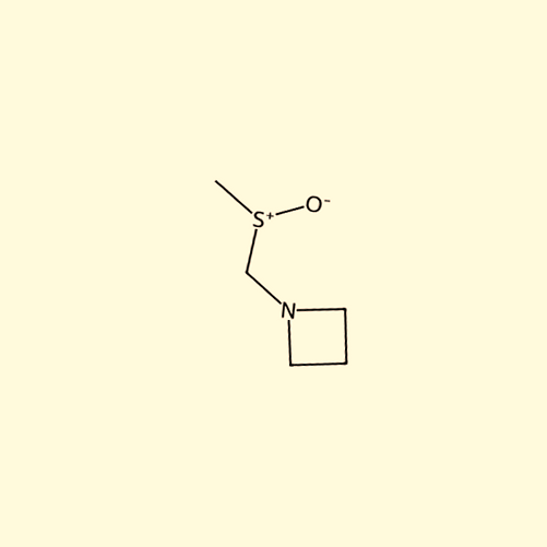 C[S+]([O-])CN1CCC1